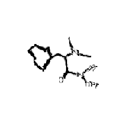 CCCN(C(=O)[C@@H](c1ccccc1)N(C)C)C(C)C